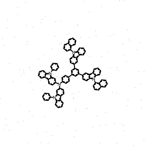 c1ccc(-n2c3ccccc3c3ccc(N(c4ccc(-c5cc(-c6ccc7c(c6)c6ccccc6n7-c6cccc7ccccc67)cc(-c6ccc7c(c6)c6ccccc6n7-c6cccc7ccccc67)c5)cc4)c4ccc5c6ccccc6n(-c6ccccc6)c5c4)cc32)cc1